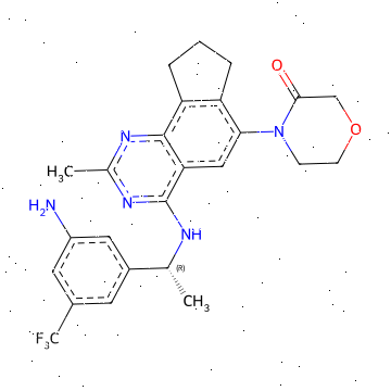 Cc1nc(N[C@H](C)c2cc(N)cc(C(F)(F)F)c2)c2cc(N3CCOCC3=O)c3c(c2n1)CCC3